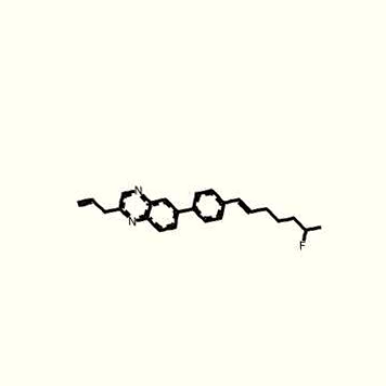 C=CCc1cnc2cc(-c3ccc(C=CCCCC(C)F)cc3)ccc2n1